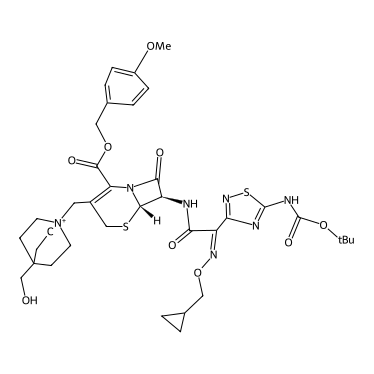 COc1ccc(COC(=O)C2=C(C[N+]34CCC(CO)(CC3)CC4)CS[C@H]3[C@H](NC(=O)/C(=N\OCC4CC4)c4nsc(NC(=O)OC(C)(C)C)n4)C(=O)N23)cc1